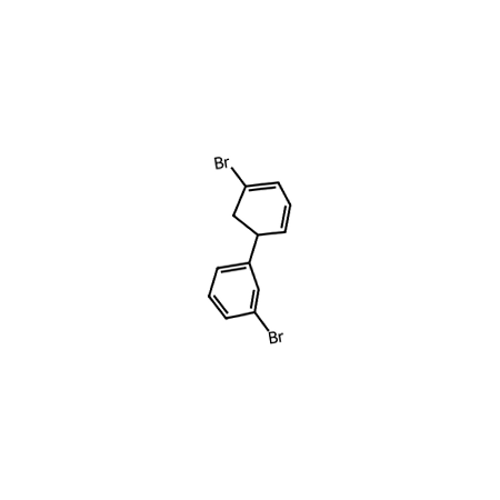 BrC1=CC=CC(c2cccc(Br)c2)C1